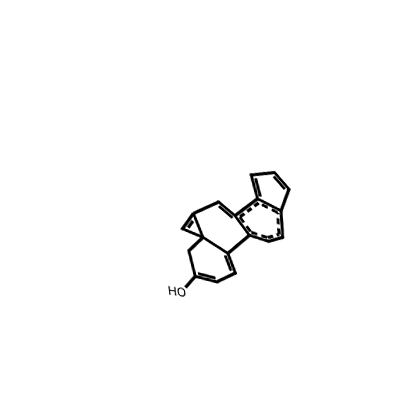 OC1=CC=C2c3ccc4c(c3=CC3=CC32C1)=CC=C4